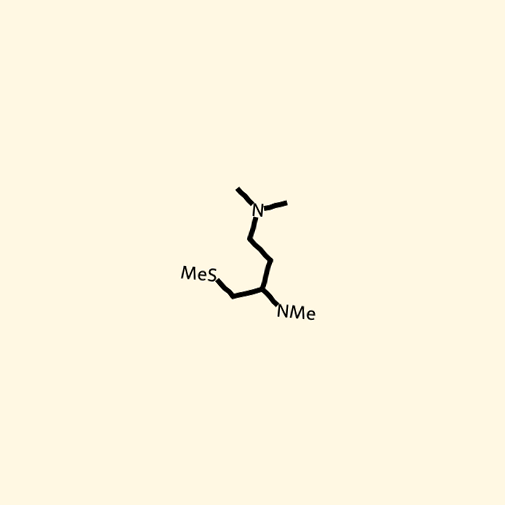 CNC(CCN(C)C)CSC